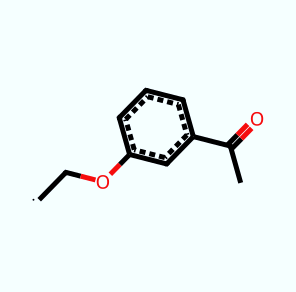 [CH2]COc1cccc(C(C)=O)c1